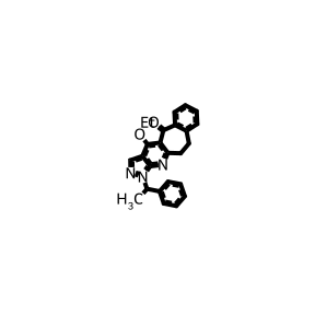 CCOc1c2c(nc3c1cnn3C(C)c1ccccc1)CCc1ccccc1C2=O